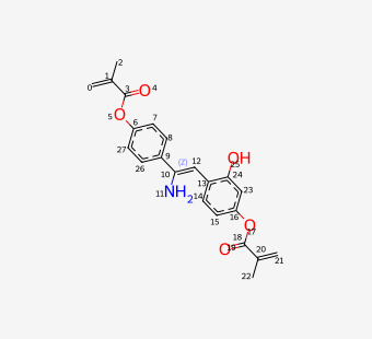 C=C(C)C(=O)Oc1ccc(/C(N)=C/c2ccc(OC(=O)C(=C)C)cc2O)cc1